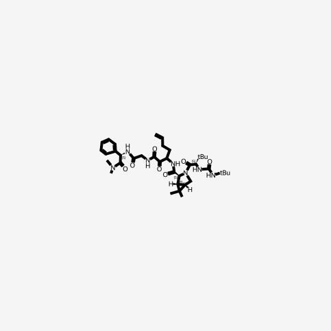 C=CCCC(NC(=O)[C@@H]1[C@@H]2[C@H](CN1C(=O)[C@@H](NC(=O)NC(C)(C)C)C(C)(C)C)C2(C)C)C(=O)C(=O)NCC(=O)N[C@H](C(=O)N(C)C)c1ccccc1